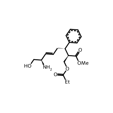 CCC(=O)OC[C@H](C(=O)OC)[C@H](C/C=C/[C@@H](N)CO)c1ccccc1